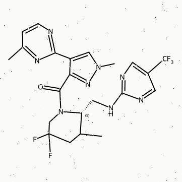 Cc1ccnc(-c2cn(C)nc2C(=O)N2CC(F)(F)CC(C)[C@H]2CNc2ncc(C(F)(F)F)cn2)n1